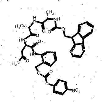 C[C@H](NC(=O)OCC1c2ccccc2-c2ccccc21)C(=O)N[C@@H](C)C(=O)NC(CC(N)=O)C(=O)Nc1ccccc1COC(=O)Oc1ccc([N+](=O)[O-])cc1